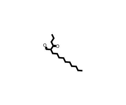 CCCCCCCCCCC([C]=O)C(=O)CCC